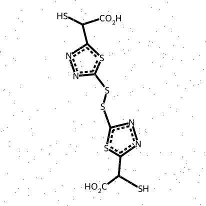 O=C(O)C(S)c1nnc(SSc2nnc(C(S)C(=O)O)s2)s1